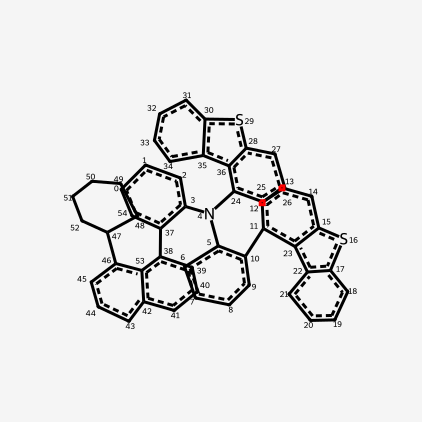 c1ccc(N(c2ccccc2-c2cccc3sc4ccccc4c23)c2cccc3sc4ccccc4c23)c(-c2cccc3cccc(C4CCCCC4)c23)c1